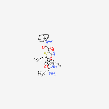 CC(C)Sc1c(OCC(C)(C)NC(=O)[C@H](C)N)noc1C(=O)NC1C2CC3CC(C2)CC1C3